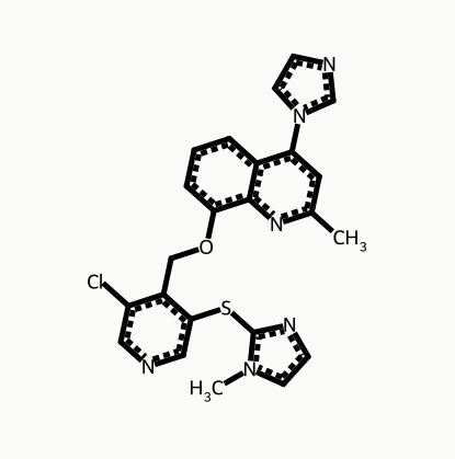 Cc1cc(-n2ccnc2)c2cccc(OCc3c(Cl)cncc3Sc3nccn3C)c2n1